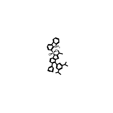 CC(C)C1=Cc2c(ccc(-c3ccccc3)c2-c2cc(C(C)C)cc(C(C)C)c2)[CH]1[Zr]([Cl])([Cl])[c]1cccc2c1[SiH2]c1ccccc1-2